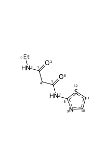 CCNC(=O)CC(=O)Nc1nccs1